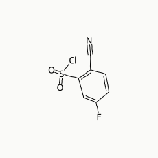 N#Cc1ccc(F)cc1S(=O)(=O)Cl